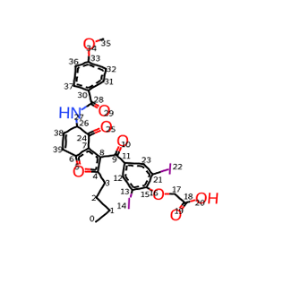 CCCCc1oc2c(c1C(=O)c1cc(I)c(OCC(=O)O)c(I)c1)C(=O)C(NC(=O)c1ccc(OC)cc1)C=C2